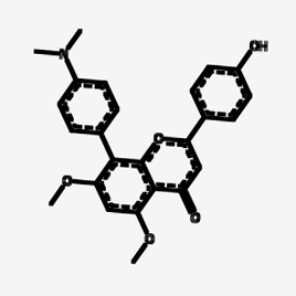 COc1cc(OC)c2c(=O)cc(-c3ccc(O)cc3)oc2c1-c1ccc(N(C)C)cc1